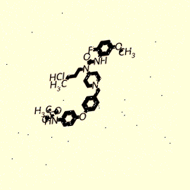 CCCCN(C(=O)Nc1cc(OC)ccc1F)C1CCN(Cc2ccc(Oc3ccc(NS(C)(=O)=O)cc3)cc2)CC1.Cl